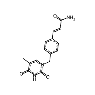 Cc1cn(Cc2ccc(C=CC(N)=O)cc2)c(=O)[nH]c1=O